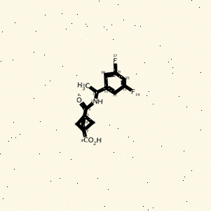 CC(NC(=O)C12CC(C(=O)O)(C1)C2)c1cc(F)cc(F)c1